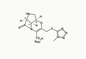 Cn1nnnc1SCC1=C(C(=O)O)N2C(=O)[C@H]3NC[C@@H](O1)[C@H]32.[NaH]